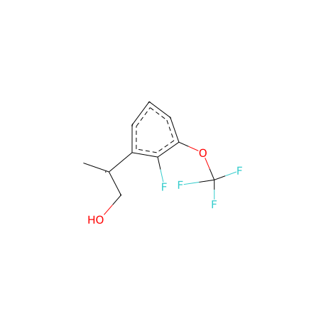 C[C](CO)c1cccc(OC(F)(F)F)c1F